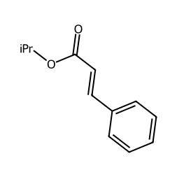 CC(C)OC(=O)C=Cc1ccccc1